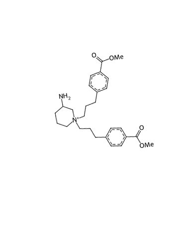 COC(=O)c1ccc(CCC[N+]2(CCCc3ccc(C(=O)OC)cc3)CCCC(N)C2)cc1